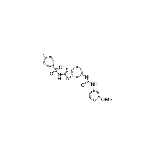 COc1cccc(NC(=O)Nc2ccc3sc(NS(=O)(=O)c4ccc(C)cc4)nc3c2)c1